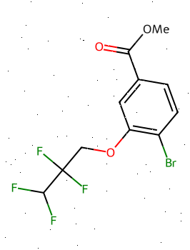 COC(=O)c1ccc(Br)c(OCC(F)(F)C(F)F)c1